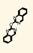 c1ccc2nc(Oc3ncc4ccccc4n3)ncc2c1